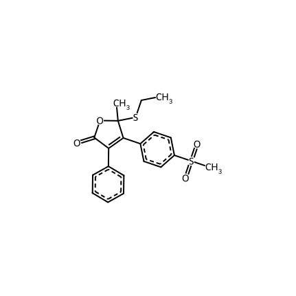 CCSC1(C)OC(=O)C(c2ccccc2)=C1c1ccc(S(C)(=O)=O)cc1